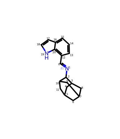 C(=N\C1C2CC3CC(C2)CC1C3)/c1cccc2cc[nH]c12